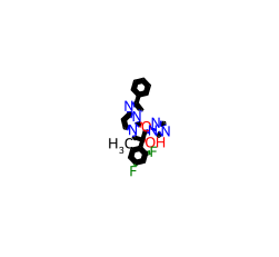 CC(n1ccc2nc(-c3ccccc3)cn2c1=O)C(O)(Cn1cncn1)c1ccc(F)cc1F